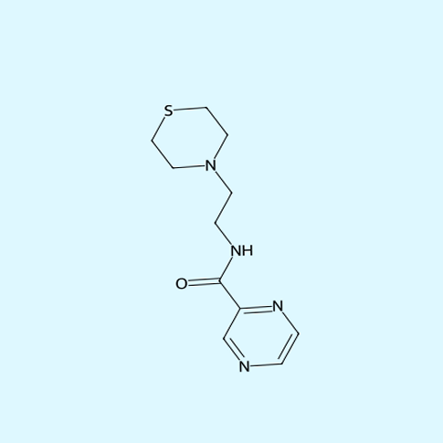 O=C(NCCN1CCSCC1)c1cnccn1